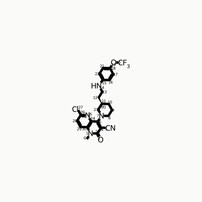 Cn1c(=O)c(C#N)c(N2CCC[C@H](CCNc3ccc(OC(F)(F)F)cc3)C2)c2nc(Cl)ccc21